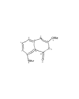 COc1nc2cccc(C(C)(C)C)c2c(=O)o1